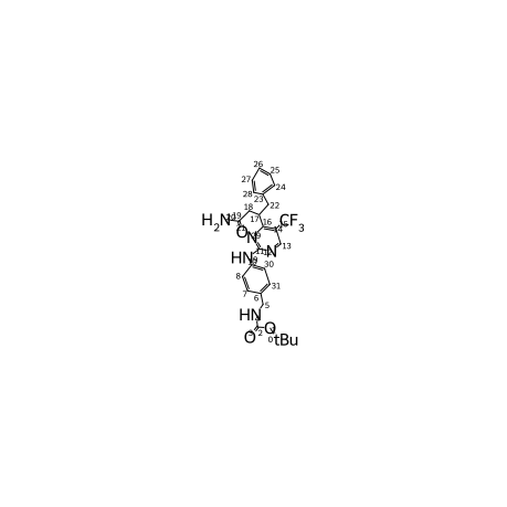 CC(C)(C)OC(=O)NCc1ccc(Nc2ncc(C(F)(F)F)c(C(CC(N)=O)Cc3ccccc3)n2)cc1